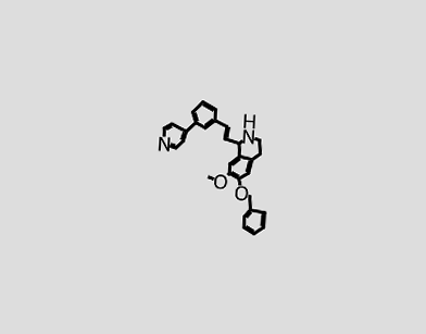 COc1cc2c(cc1OCc1ccccc1)CCNC2/C=C/c1cccc(-c2ccncc2)c1